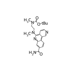 CN(CCN(C)c1nc2cc(C(N)=O)ccc2c2cnccc12)C(=O)OC(C)(C)C